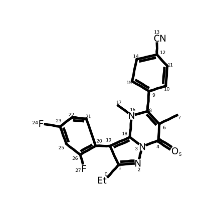 CCc1nn2c(=O)c(C)c(-c3ccc(C#N)cc3)n(C)c2c1-c1ccc(F)cc1F